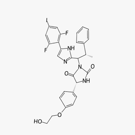 C[C@@H](c1ccccc1)C(c1ncc(-c2c(F)cc(I)cc2F)[nH]1)N1C(=O)N[C@H](c2ccc(OCCO)cc2)C1=O